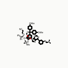 COc1ccc(C(OC[C@H]2O[C@@H](n3cnc4c(-c5cccc(/N=C/N(C)C)c5)ncnc43)[C@H](O[Si](C)(C)C(C)(C)C)[C@@H]2OP(OCCC#N)N(C(C)C)C(C)C)(c2ccccc2)c2ccc(OC)cc2)cc1